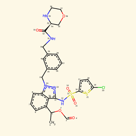 CC(OC=O)c1cccc2c1c(NS(=O)(=O)c1ccc(Cl)s1)nn2Cc1cccc(CNC(=O)[C@@H]2COCCN2)c1